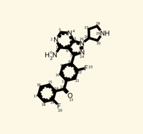 Nc1ncnc2c1c(-c1ccc(C(=O)c3ccccc3F)cc1F)nn2C1CCNC1